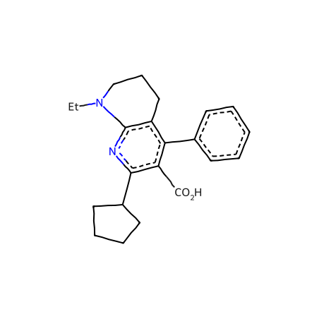 CCN1CCCc2c1nc(C1CCCC1)c(C(=O)O)c2-c1ccccc1